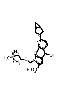 CCOC(=O)c1cc(C(O)c2ccc(N3CC4CC4C3)nc2Cl)nn1COCC[Si](C)(C)C